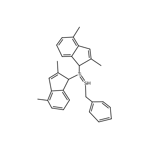 CC1=Cc2c(C)cccc2[CH]1[Ti](=[SiH]Cc1ccccc1)[CH]1C(C)=Cc2c(C)cccc21